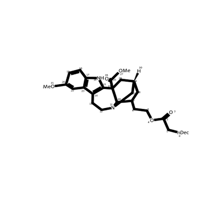 CCCCCCCCCCCC(=O)OCCC1C[C@@H]2CN3CCc4c([nH]c5ccc(OC)cc45)C(C(=O)OC)(C2)C13